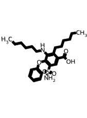 CCCCCCNc1c(CCCCCC)c(C(=O)O)cc(S(N)(=O)=O)c1Oc1ccccc1